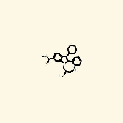 COC(=O)c1ccc2c(C3CCCCC3)c3n(c2c1)CC(N)CNc1ccccc1-3